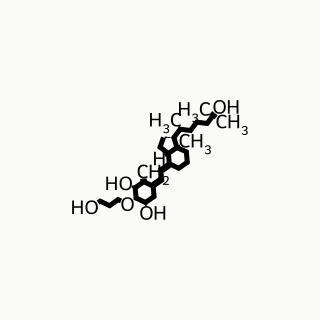 C=C1/C(=C\C=C2/CCC[C@]3(C)[C@@H]([C@H](C)CCCC(C)(C)O)CC[C@@H]23)C[C@H](O)[C@H](OCCCO)[C@H]1O